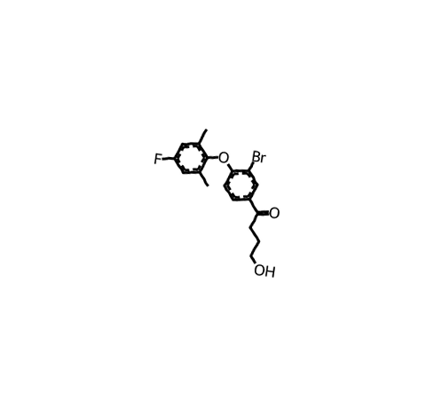 Cc1cc(F)cc(C)c1Oc1ccc(C(=O)CCCO)cc1Br